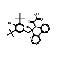 CC(C)(C)c1cc(CC2(O)c3pcccc3-c3ccccc3C2C(=O)C(=O)O)cc(C(C)(C)C)c1O